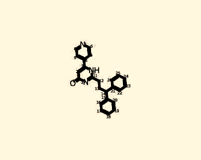 O=c1cc(-c2ccncc2)[nH]c(CCC(c2ccccc2)c2ccccc2)n1